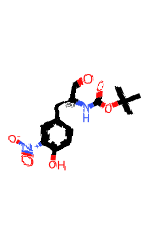 CC(C)(C)OC(=O)N[C@H](C=O)Cc1ccc(O)c([N+](=O)[O-])c1